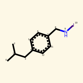 CC(C)Cc1ccc(CNI)cc1